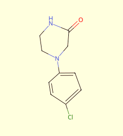 O=C1CN(c2ccc(Cl)cc2)CCN1